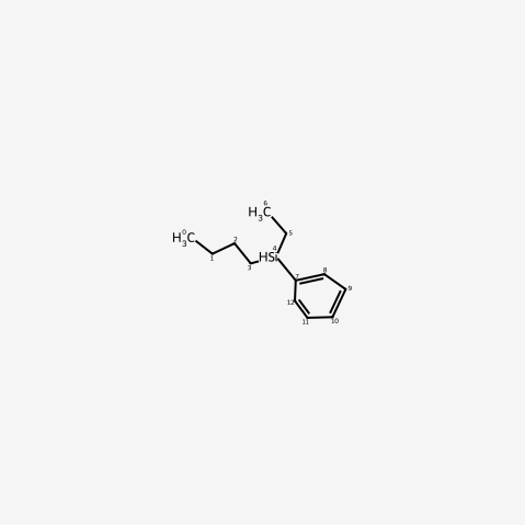 CCCC[SiH](CC)c1ccccc1